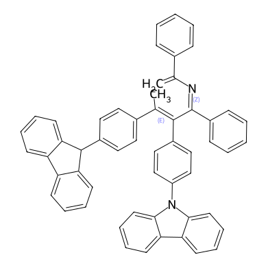 C=C(/N=C(\C(=C(/C)c1ccc(C2c3ccccc3-c3ccccc32)cc1)c1ccc(-n2c3ccccc3c3ccccc32)cc1)c1ccccc1)c1ccccc1